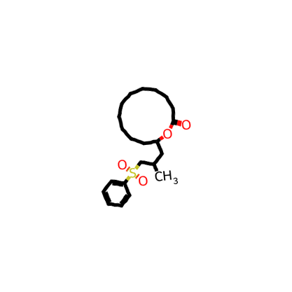 CC(CC1CCCCCCCCCCC(=O)O1)CS(=O)(=O)c1ccccc1